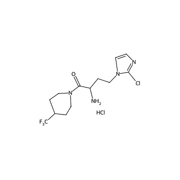 Cl.NC(CCn1ccnc1Cl)C(=O)N1CCC(C(F)(F)F)CC1